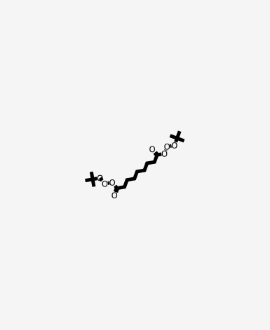 CC(C)(C)OOOC(=O)CCCCCCCC(=O)OOOC(C)(C)C